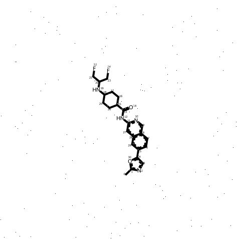 Cc1ncc(-c2ccc3cnc(NC(=O)C4CCC(NC(CF)CF)CC4)cc3c2)o1